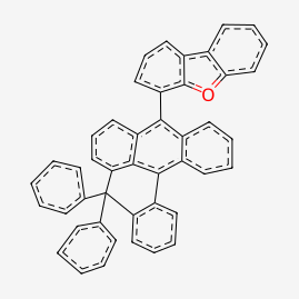 c1ccc(C2(c3ccccc3)c3ccccc3-c3c4ccccc4c(-c4cccc5c4oc4ccccc45)c4cccc2c34)cc1